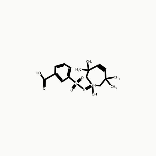 CC1(C)C#CC(C)(C)C[SH](O)(=NS(=O)(=O)c2cccc(C(=O)O)c2)C1